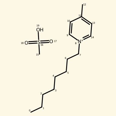 CCCCCCCC[n+]1ccc(C)cc1.CS(=O)(=O)O